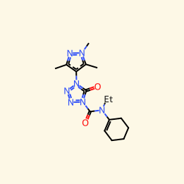 CCN(C(=O)n1nnn(-c2c(C)nn(C)c2C)c1=O)C1=CCCCC1